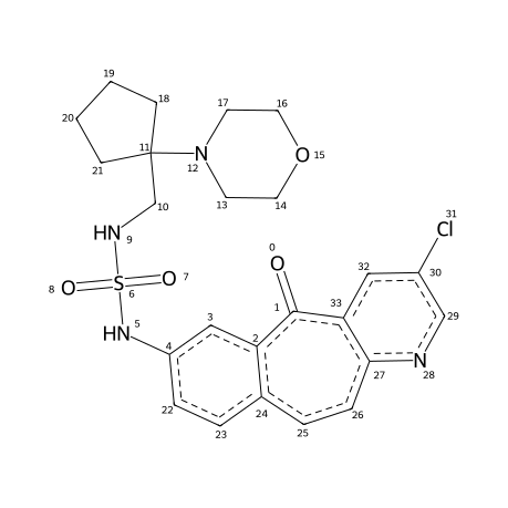 O=c1c2cc(NS(=O)(=O)NCC3(N4CCOCC4)CCCC3)ccc2ccc2ncc(Cl)cc12